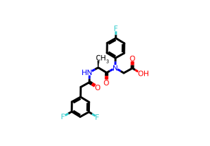 C[C@H](NC(=O)Cc1cc(F)cc(F)c1)C(=O)N(CC(=O)O)c1ccc(F)cc1